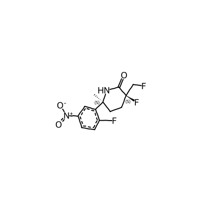 C[C@@]1(c2cc([N+](=O)[O-])ccc2F)CC[C@@](F)(CF)C(=O)N1